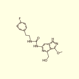 COc1n[nH]c2cc(NC(=O)NCCc3ccc(F)cc3)nc(CO)c12